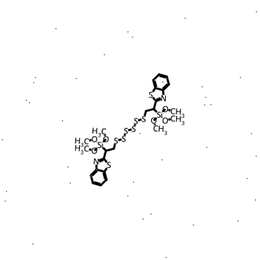 CO[Si](OC)(OC)C(CSSSSSSCC(c1nc2ccccc2s1)[Si](OC)(OC)OC)c1nc2ccccc2s1